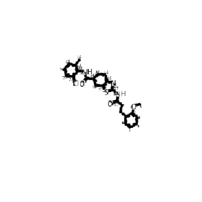 COc1ccccc1CCC(=O)Nc1nc2ccc(C(=O)Nc3c(C)cccc3Cl)cc2s1